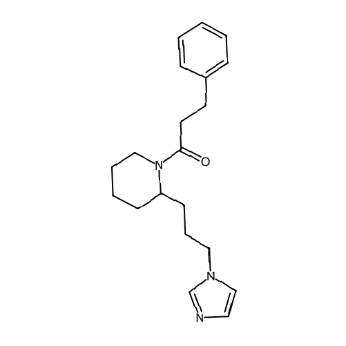 O=C(CCc1ccccc1)N1CCCCC1CCCn1ccnc1